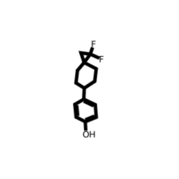 Oc1ccc(C2CCC3(CC2)CC3(F)F)cc1